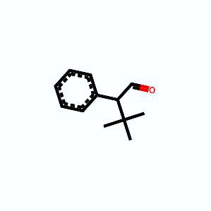 CC(C)(C)C(C=O)c1ccccc1